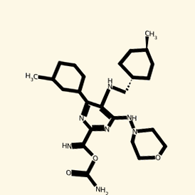 CC1CCCC(c2nc(C(=N)OC(N)=O)nc(NN3CCOCC3)c2NC[C@H]2CC[C@H](C)CC2)C1